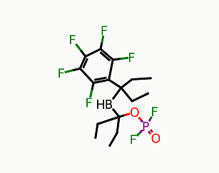 CCC(BC(CC)(CC)c1c(F)c(F)c(F)c(F)c1F)(CC)OP(=O)(F)F